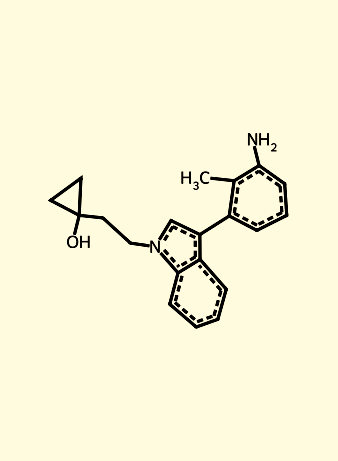 Cc1c(N)cccc1-c1cn(CCC2(O)CC2)c2ccccc12